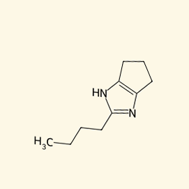 CCCCc1nc2c([nH]1)CCC2